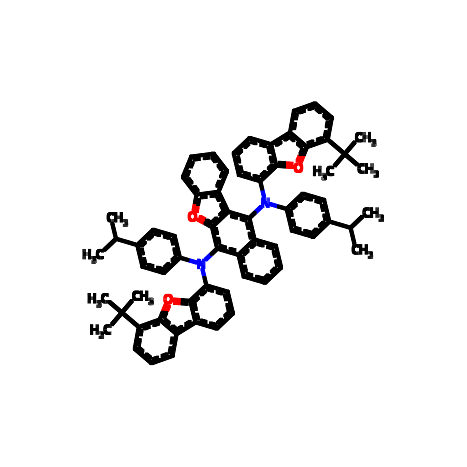 CC(C)c1ccc(N(c2cccc3c2oc2c(C(C)(C)C)cccc23)c2c3ccccc3c(N(c3ccc(C(C)C)cc3)c3cccc4c3oc3c(C(C)(C)C)cccc34)c3c2oc2ccccc23)cc1